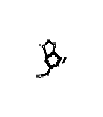 CC.OCc1ccc2c(c1)OCO2